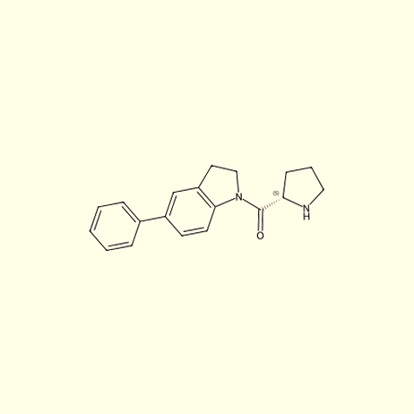 O=C([C@@H]1CCCN1)N1CCc2cc(-c3ccccc3)ccc21